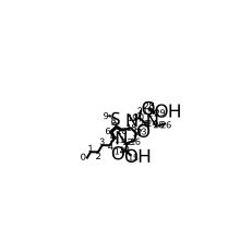 CCCCCc1cc(SC)c2n1C(C(=O)O)CCC2=NC(C)C(=O)N(CC)C(=O)O